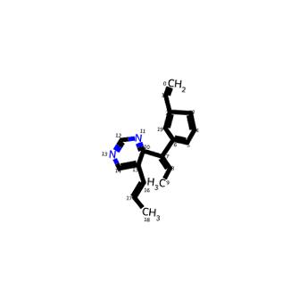 C=Cc1cccc(/C(=C/C)c2ncncc2/C=C/C)c1